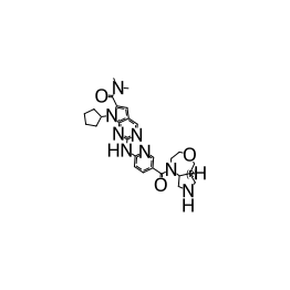 CN(C)C(=O)c1cc2cnc(Nc3ccc(C(=O)N4CCOC[C@@H]5CNCC54)cn3)nc2n1C1CCCC1